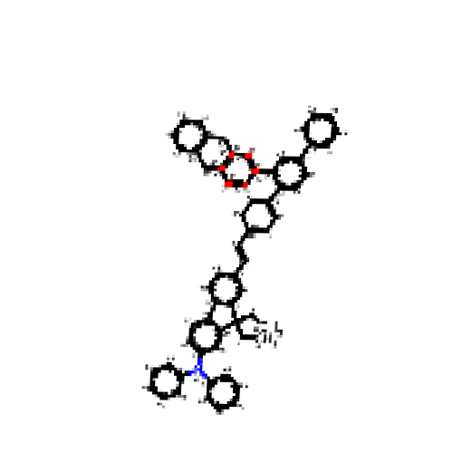 CCC1(CC)c2cc(/C=C/C3=CC=C(c4ccc(-c5ccccc5)cc4C4C=CC5=C(C4)C4c6ccccc6C5C5C=CC=CC45)CC3)ccc2-c2ccc(N(c3ccccc3)c3ccccc3)cc21